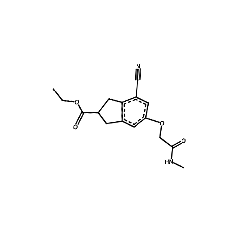 CCOC(=O)C1Cc2cc(OCC(=O)NC)cc(C#N)c2C1